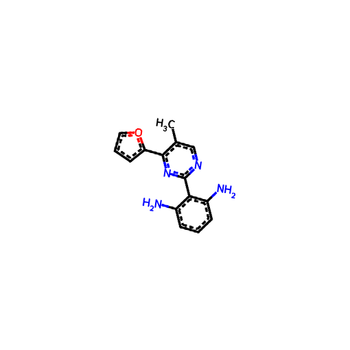 Cc1cnc(-c2c(N)cccc2N)nc1-c1ccco1